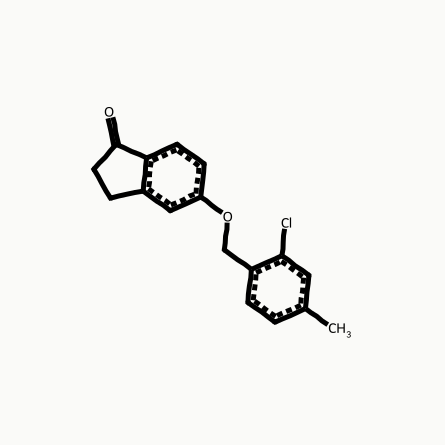 Cc1ccc(COc2ccc3c(c2)CCC3=O)c(Cl)c1